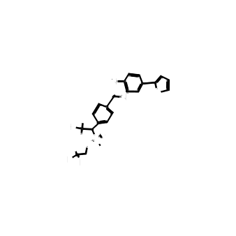 CP(=O)(OCC(F)(F)F)C(c1ccc(C(=O)Nc2cc(-c3cccs3)ccc2N)cc1)C(F)(F)F